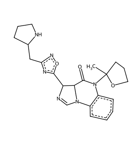 CC1(N2C(=O)C3C(c4nc(CC5CCCN5)no4)N=CN3c3ccccc32)CCCO1